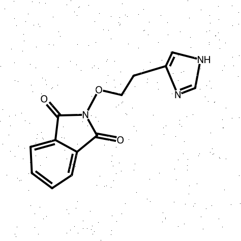 O=C1c2ccccc2C(=O)N1OCCc1c[nH]cn1